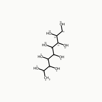 CC(O)C(O)C(O)C(O)C(O)C(O)C(O)CO